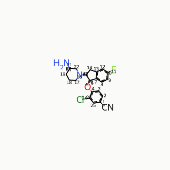 N#Cc1ccc(O[C@@H]2c3ccc(F)cc3C[C@@H]2N2CCC[C@@H](N)C2)c(Cl)c1